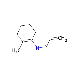 C=C/C=N\C1=C(C)CCCC1